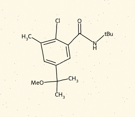 COC(C)(C)c1cc(C)c(Cl)c(C(=O)NC(C)(C)C)c1